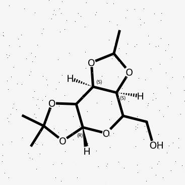 CC1O[C@@H]2C3OC(C)(C)O[C@H]3OC(CO)[C@@H]2O1